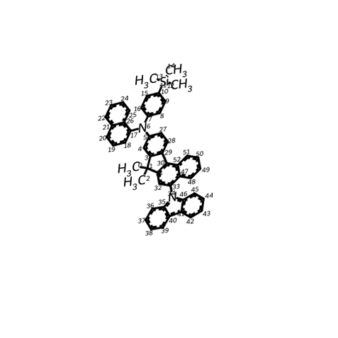 CC1(C)c2cc(N(c3ccc([Si](C)(C)C)cc3)c3cccc4ccccc34)ccc2-c2c1cc(-n1c3ccccc3c3ccccc31)c1ccccc21